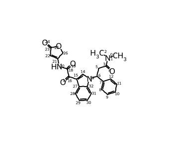 CN(C)C(=O)CC(c1ccccc1)n1cc(C(=O)C(=O)NC2=CC(=O)OC2)c2ccccc21